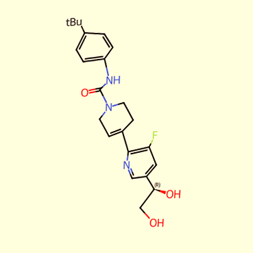 CC(C)(C)c1ccc(NC(=O)N2CC=C(c3ncc([C@@H](O)CO)cc3F)CC2)cc1